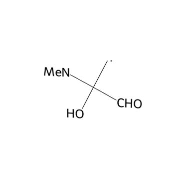 [CH2]C(O)(C=O)NC